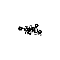 CN1C(C2CCCCC2)CN(c2ccccc2)c2cc(Cl)c(-c3cc(F)c(NC(=O)OCc4ccccc4)c(C(=O)O)c3)cc2S1(O)O